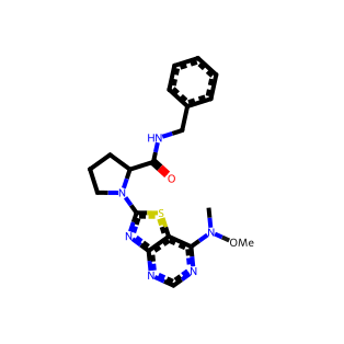 CON(C)c1ncnc2nc(N3CCCC3C(=O)NCc3ccccc3)sc12